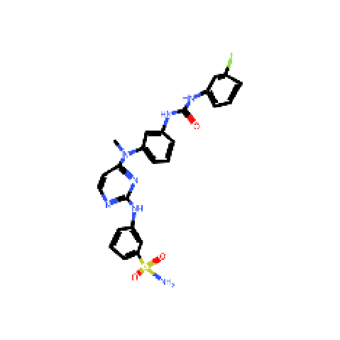 CN(c1cccc(NC(=O)Nc2cccc(F)c2)c1)c1ccnc(Nc2cccc(S(N)(=O)=O)c2)n1